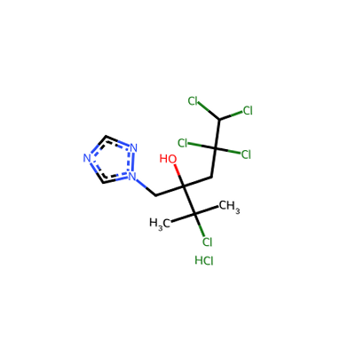 CC(C)(Cl)C(O)(Cn1cncn1)CC(Cl)(Cl)C(Cl)Cl.Cl